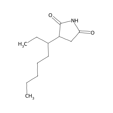 CCCCCC(CC)C1CC(=O)NC1=O